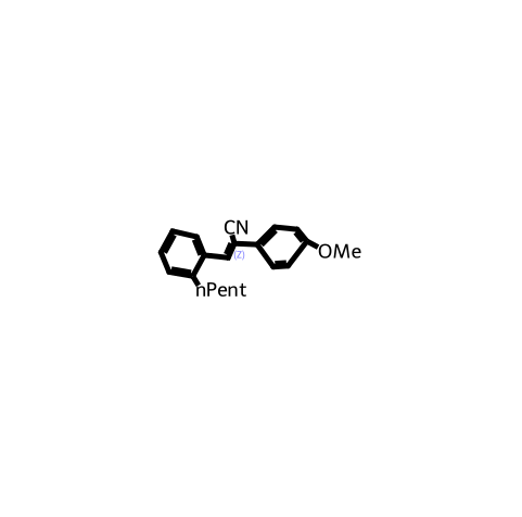 CCCCCc1ccccc1/C=C(\C#N)c1ccc(OC)cc1